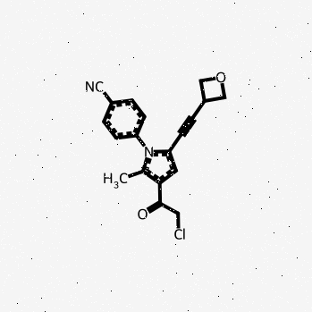 Cc1c(C(=O)CCl)cc(C#CC2COC2)n1-c1ccc(C#N)cc1